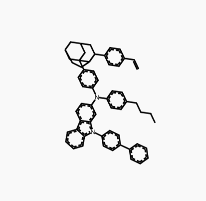 C=Cc1ccc(C2CC3CC4CCC2C(c2ccc(N(c5ccc(CCCC)cc5)c5ccc6c7ccccc7n(-c7ccc(-c8ccccc8)cc7)c6c5)cc2)(C4)C3)cc1